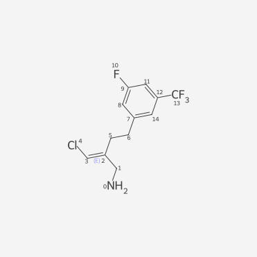 NC/C(=C/Cl)CCc1cc(F)cc(C(F)(F)F)c1